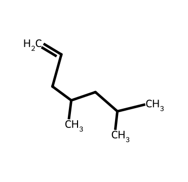 C=CCC(C)CC(C)C